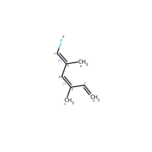 C=C/C(C)=C\C(C)=C\F